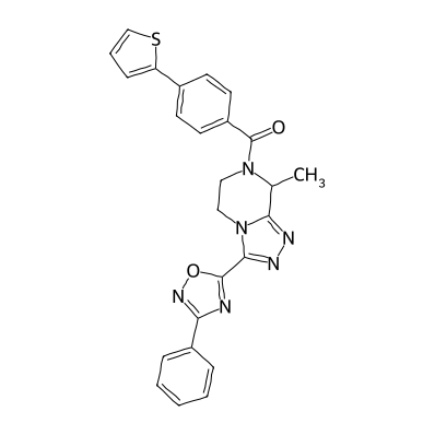 CC1c2nnc(-c3nc(-c4ccccc4)no3)n2CCN1C(=O)c1ccc(-c2cccs2)cc1